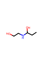 CCC(O)NCCO